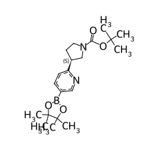 CC(C)(C)OC(=O)N1CC[C@H](c2ccc(B3OC(C)(C)C(C)(C)O3)cn2)C1